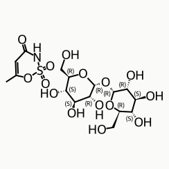 CC1=CC(=O)NS(=O)(=O)O1.OC[C@H]1O[C@H](O[C@H]2O[C@H](CO)[C@@H](O)[C@H](O)[C@H]2O)[C@H](O)[C@@H](O)[C@@H]1O